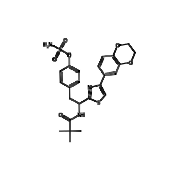 CC(C)(C)C(=O)NC(Cc1ccc(OS(N)(=O)=O)cc1)c1nc(-c2ccc3c(c2)OCCO3)cs1